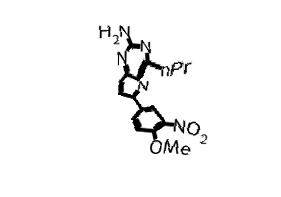 CCCc1nc(N)nc2ccc(-c3ccc(OC)c([N+](=O)[O-])c3)nc12